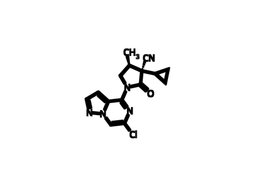 C[C@@H]1CN(c2nc(Cl)cn3nccc23)C(=O)[C@]1(C#N)C1CC1